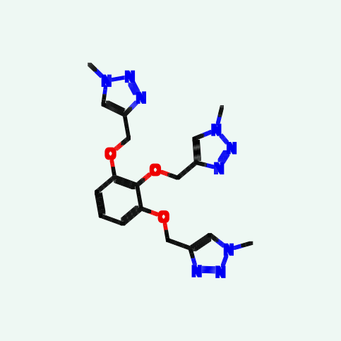 Cn1cc(COc2cccc(OCc3cn(C)nn3)c2OCc2cn(C)nn2)nn1